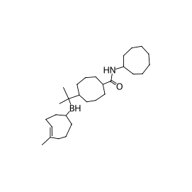 C/C1=C\CCC(BC(C)(C)C2CCCC(C(=O)NC3CCCCCCC3)CCC2)CCC1